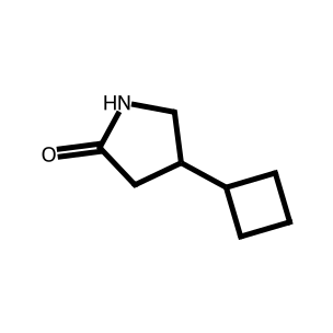 O=C1CC(C2CCC2)CN1